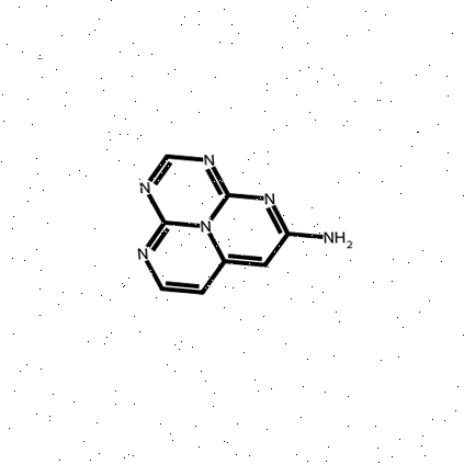 NC1=NC2=NC=NC3=NC=CC(=C1)N32